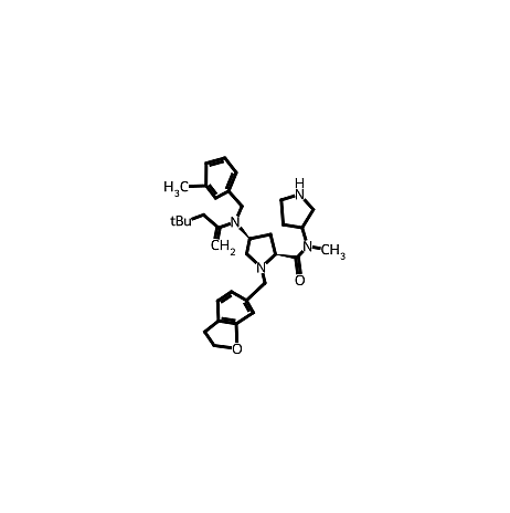 C=C(CC(C)(C)C)N(Cc1cccc(C)c1)[C@H]1C[C@@H](C(=O)N(C)C2CCNC2)N(Cc2ccc3c(c2)OCC3)C1